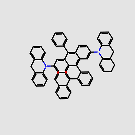 C1=CC2=C(CC1)Cc1ccccc1N2c1ccc2c(-c3ccccc3)c3cc(N4c5ccccc5Cc5ccccc54)ccc3c(-c3ccccc3-c3cccc4ccccc34)c2c1